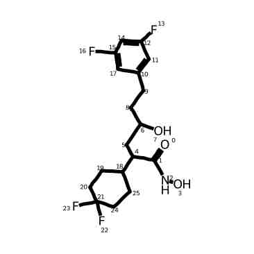 O=C(NO)C(CC(O)[CH]Cc1cc(F)cc(F)c1)C1CCC(F)(F)CC1